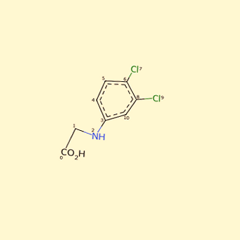 O=C(O)CNc1ccc(Cl)c(Cl)c1